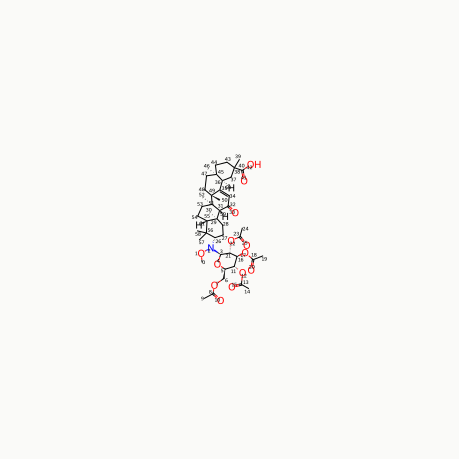 CON([C@@H]1O[C@H](COC(C)=O)[C@@H](OC(C)=O)[C@H](OC(C)=O)[C@H]1OC(C)=O)[C@H]1CC[C@]2(C)[C@H]3C(=O)C=C4[C@@H]5CC(C)(C(=O)O)CC[C@]5(C)CC[C@@]4(C)[C@]3(C)CC[C@H]2C1(C)C